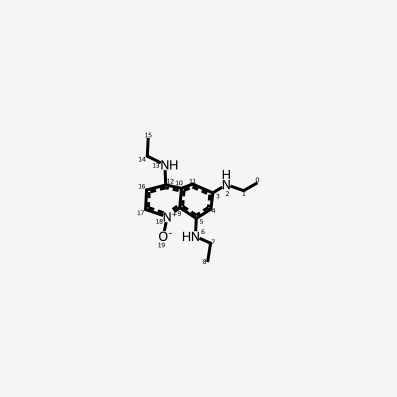 CCNc1cc(NCC)c2c(c1)c(NCC)cc[n+]2[O-]